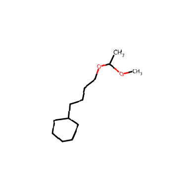 COC(C)OCCCCC1CCCCC1